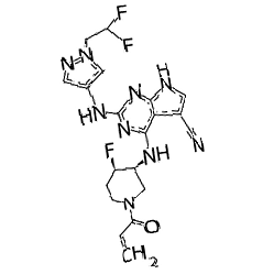 C=CC(=O)N1CC[C@@H](F)[C@@H](Nc2nc(Nc3cnn(CC(F)F)c3)nc3[nH]cc(C#N)c23)C1